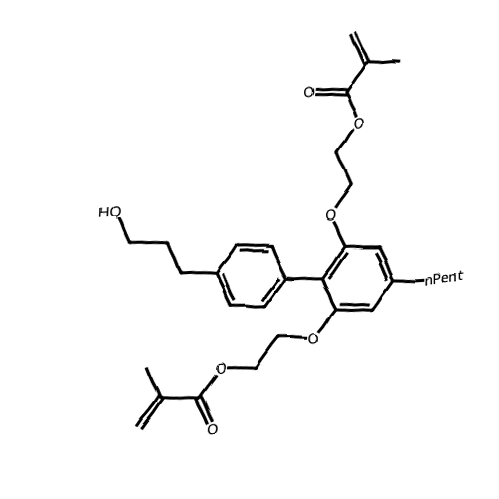 C=C(C)C(=O)OCCOc1cc(CCCCC)cc(OCCOC(=O)C(=C)C)c1-c1ccc(CCCO)cc1